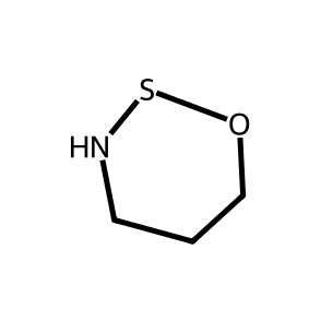 C1CNSOC1